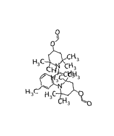 C[C](c1ccc(C)cc1N1C(C)(C)CC(OC=O)CC1(C)C)N1C(C)(C)CC(OC=O)CC1(C)C